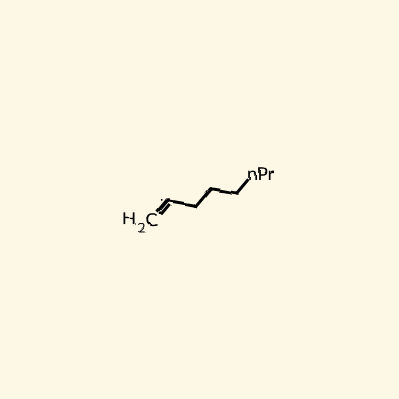 C=[C]CCCCCC